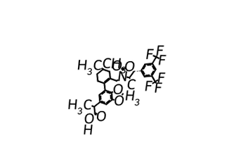 CC(C(=O)O)c1cc2c(c(C3=C(CN4C(=O)O[C@H](c5cc(C(F)(F)F)cc(C(F)(F)F)c5)[C@@H]4C)CC(C)(C)CC3)c1)OCO2